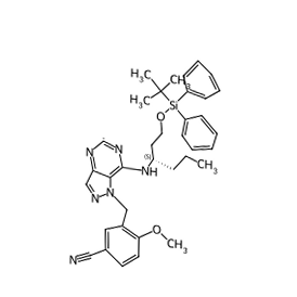 CCC[C@@H](CCO[Si](c1ccccc1)(c1ccccc1)C(C)(C)C)Nc1n[c]nc2cnn(Cc3cc(C#N)ccc3OC)c12